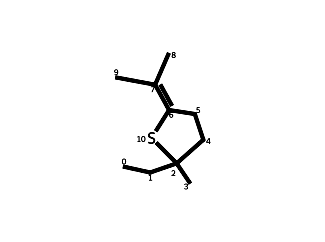 CCC1(C)CCC(=C(C)C)S1